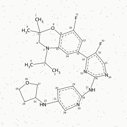 CC(C)N1CC(C)(C)Oc2c(F)cc(-c3nc(Nc4ccc(NC5CCOC5)cn4)ncc3F)cc21